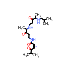 CC(C)CNC(C)C(=O)CCNC(C)C(=O)CCNC(=O)/C=C\C(=O)C(C)C